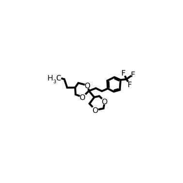 CCCC1COC(CCc2ccc(C(F)(F)F)cc2)(C2COCOC2)OC1